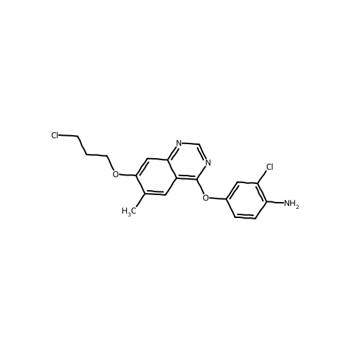 Cc1cc2c(Oc3ccc(N)c(Cl)c3)ncnc2cc1OCCCCl